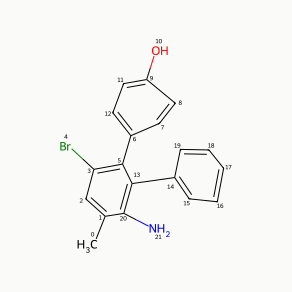 Cc1cc(Br)c(-c2ccc(O)cc2)c(-c2ccccc2)c1N